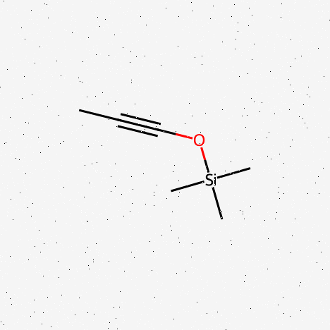 CC#CO[Si](C)(C)C